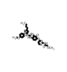 CCCCc1cc(NC(=O)Nc2ccc(Oc3ccnc(NC(=O)COC)n3)c(Cl)c2Cl)n(-c2ccc(OC)cc2)n1